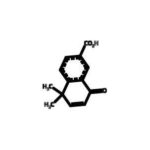 CC1(C)C=CC(=O)c2cc(C(=O)O)ccc21